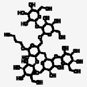 OCC1O[C@H](OC2[C@H](OCC3O[C@H](OCCCS)C(O)[C@@H](O[C@@H]4OC(CO)[C@@H](O)[C@H](O)C4O)[C@@H]3C[C@@H]3OC(CO)[C@@H](O)[C@H](O)C3O[C@@H]3OC(CO)[C@@H](O)[C@H](O)C3O)OC(CO)[C@@H](O)[C@@H]2O)C(O)[C@@H](O)[C@@H]1O